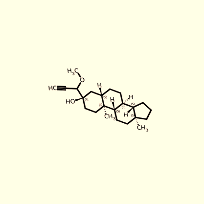 C#CC(OC)[C@@]1(O)CC[C@@]2(C)[C@@H](CC[C@H]3[C@@H]4CCC[C@@]4(C)CC[C@@H]32)C1